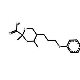 CC1OC(C)(C(=O)O)OCC1CCCSc1ccccc1